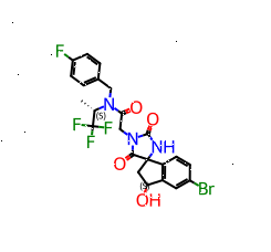 C[C@H](N(Cc1ccc(F)cc1)C(=O)CN1C(=O)NC2(C[C@H](O)c3cc(Br)ccc32)C1=O)C(F)(F)F